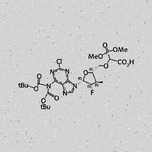 COP(=O)(OC)C(OC[C@H]1O[C@@H](n2cnc3c(N(C(=O)OC(C)(C)C)C(=O)OC(C)(C)C)nc(Cl)nc32)[C@@H](F)[C@@H]1C)C(=O)O